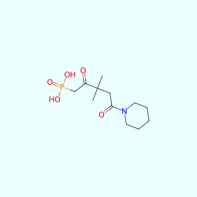 CC(C)(CC(=O)N1CCCCC1)C(=O)CP(=O)(O)O